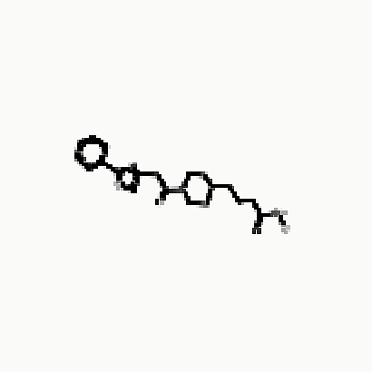 O=C(CCCC1CCN(C(=O)Cc2csc(-c3ccccc3)n2)CC1)NO